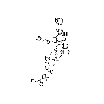 C=C(C)[C@@H]1CC[C@]2(C(=O)N3C[C@H](OCCOC)C[C@H]3c3nc(-c4cccnc4)c[nH]3)CC[C@]3(C)[C@H](CC[C@@H]4C5(C)CC[C@H](OC(=O)[C@H]6C[C@@H](C(=O)O)C6(C)C)C(C)(C)[C@@H]5CC[C@]43C)[C@@H]12